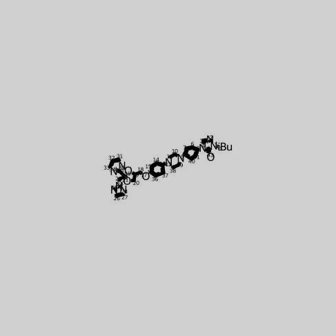 CCC(C)n1ncn(-c2ccc(N3CCN(c4ccc(OCC5COC(Cn6nccn6)(c6ncccn6)O5)cc4)CC3)cc2)c1=O